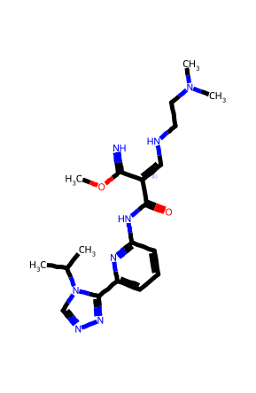 COC(=N)/C(=C\NCCN(C)C)C(=O)Nc1cccc(-c2nncn2C(C)C)n1